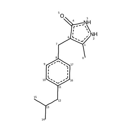 Cc1[nH][nH]c(=O)c1Cc1ccc(CC(C)C)cc1